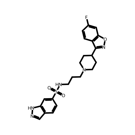 O=S(=O)(NCCCN1CCC(c2noc3cc(F)ccc23)CC1)c1ccc2cn[nH]c2c1